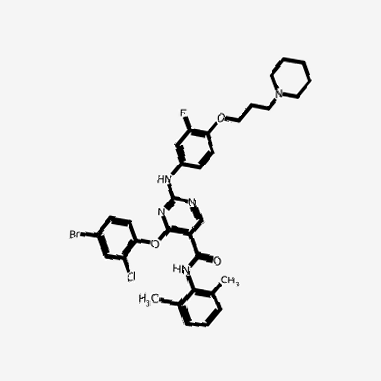 Cc1cccc(C)c1NC(=O)c1cnc(Nc2ccc(OCCCN3CCCCC3)c(F)c2)nc1Oc1ccc(Br)cc1Cl